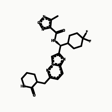 Cc1nonc1C(=O)N[C@H](c1cn2nc(CC3CCCNC3=O)ccc2n1)C1CCC(F)(F)CC1